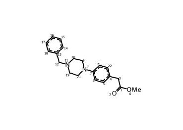 COC(=O)Cc1ccc(N2CCN(Cc3ccccc3)CC2)cc1